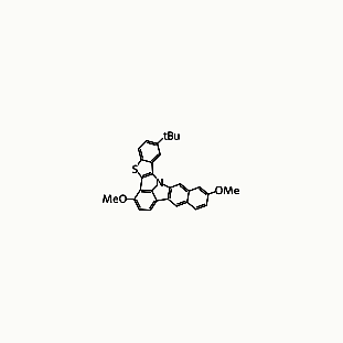 COc1ccc2cc3c4ccc(OC)c5c6sc7ccc(C(C)(C)C)cc7c6n(c3cc2c1)c45